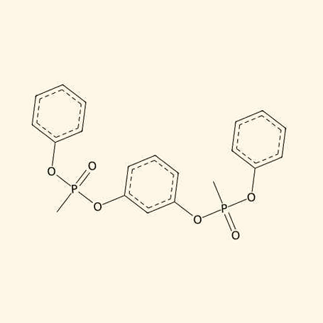 CP(=O)(Oc1ccccc1)Oc1cccc(OP(C)(=O)Oc2ccccc2)c1